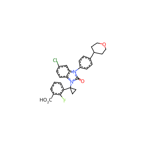 O=C(O)c1cccc(C2(n3c(=O)n(-c4ccc(C5CCOCC5)cc4)c4cc(Cl)ccc43)CC2)c1F